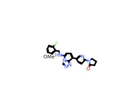 COc1cccc(F)c1CNc1ccc(-c2ccc(N3CCCC3=O)nc2)c2nncn12